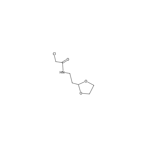 O=C(CCl)NCCC1OCCO1